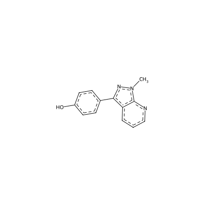 Cn1nc(-c2ccc(O)cc2)c2cccnc21